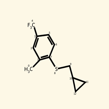 Cc1cc(C(F)(F)F)ccc1SCC1CC1